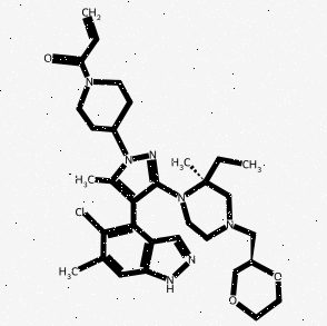 C=CC(=O)N1CCC(n2nc(N3CCN(C[C@@H]4COCCO4)C[C@]3(C)CC)c(-c3c(Cl)c(C)cc4[nH]ncc34)c2C)CC1